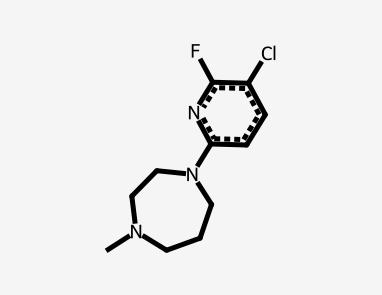 CN1CCCN(c2ccc(Cl)c(F)n2)CC1